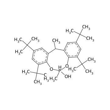 CC1c2cc(C(C)(C)C)cc(C(C)(C)C)c2O[PH](C)(O)Oc2c1cc(C(C)(C)C)cc2C(C)(C)C